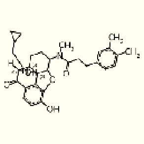 Cc1ccc(CCC(=O)N(C)C2CC[C@@]3(O)[C@H]4C(=O)c5ccc(O)c6c5[C@@]3(CCN4CC3CC3)C2O6)cc1C